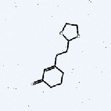 O=C1C=C(CCC2OCCO2)CCC1